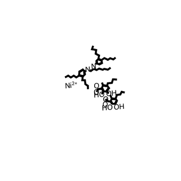 CCCCCCC(C=Nc1ccc(CCCCC)c(CCCCC)c1)=Nc1ccc(CCCCC)c(CCCCC)c1.CCCCc1cc(O)c(O)c(C(=O)[O-])c1C.CCCCc1cc(O)c(O)c(C(=O)[O-])c1C.[Ni+2]